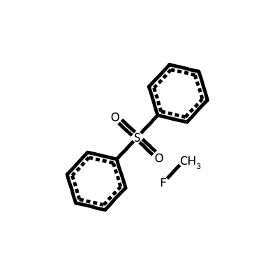 CF.O=S(=O)(c1ccccc1)c1ccccc1